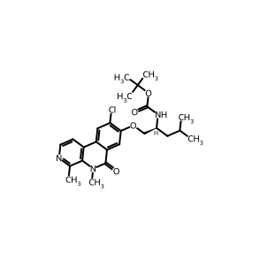 Cc1nccc2c3cc(Cl)c(OC[C@H](CC(C)C)NC(=O)OC(C)(C)C)cc3c(=O)n(C)c12